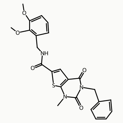 COc1cccc(CNC(=O)c2cc3c(=O)n(Cc4ccccc4)c(=O)n(C)c3s2)c1OC